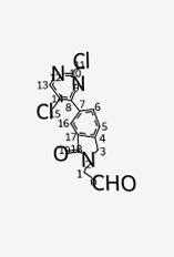 O=CCN1Cc2ccc(-c3nc(Cl)ncc3Cl)cc2C1=O